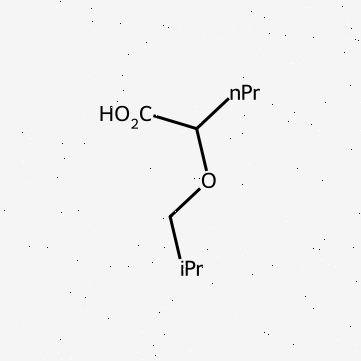 CCCC(OCC(C)C)C(=O)O